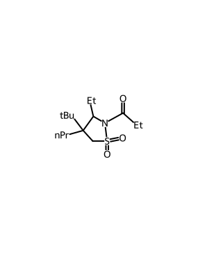 CCCC1(C(C)(C)C)CS(=O)(=O)N(C(=O)CC)C1CC